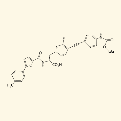 Cc1ccc(-c2ccc(C(=O)NC(Cc3ccc(C#Cc4ccc(NC(=O)OC(C)(C)C)cc4)c(F)c3)C(=O)O)o2)cc1